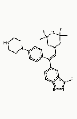 CC1(C)CC(C=C(c2ccc(N3CCNCC3)cc2)c2ccc3[nH]nc(F)c3c2)CC(C)(C)O1